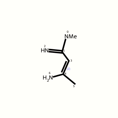 CNC(=N)/C=C(/C)N